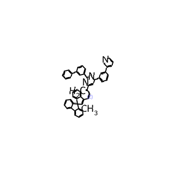 C=C(/C=C\C1=C(C)C2(c3ccccc31)c1ccccc1-c1ccccc12)c1cc(-c2cccc(-c3cccnc3)c2)nc(-c2cccc(-c3ccccc3)c2)n1